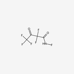 O=C(NF)C(F)(F)C(=O)C(F)(F)F